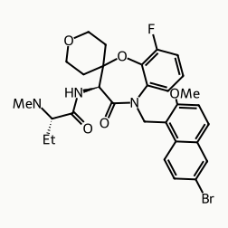 CC[C@H](NC)C(=O)N[C@@H]1C(=O)N(Cc2c(OC)ccc3cc(Br)ccc23)c2cccc(F)c2OC12CCOCC2